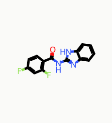 O=C(Nc1nc2ccccc2[nH]1)c1ccc(F)cc1F